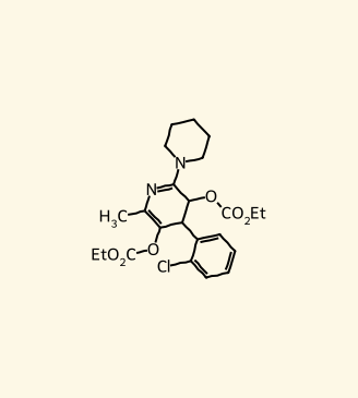 CCOC(=O)OC1=C(C)N=C(N2CCCCC2)C(OC(=O)OCC)C1c1ccccc1Cl